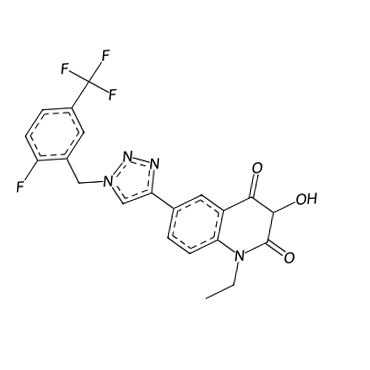 CCN1C(=O)C(O)C(=O)c2cc(-c3cn(Cc4cc(C(F)(F)F)ccc4F)nn3)ccc21